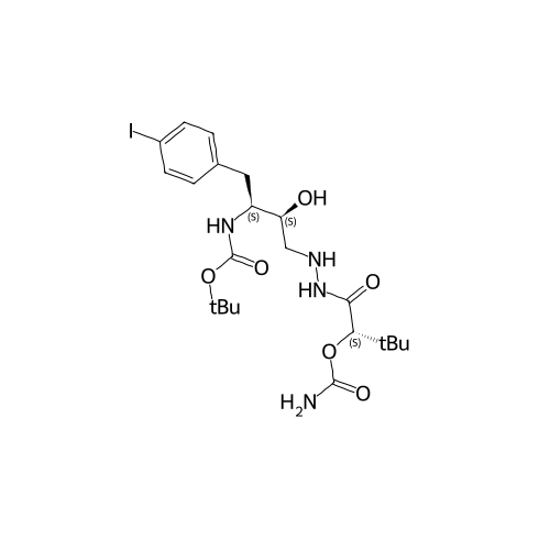 CC(C)(C)OC(=O)N[C@@H](Cc1ccc(I)cc1)[C@@H](O)CNNC(=O)[C@@H](OC(N)=O)C(C)(C)C